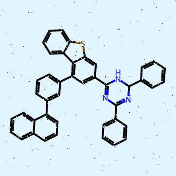 c1ccc(C2=NC(c3ccccc3)NC(c3cc(-c4cccc(-c5cccc6ccccc56)c4)c4c(c3)sc3ccccc34)=N2)cc1